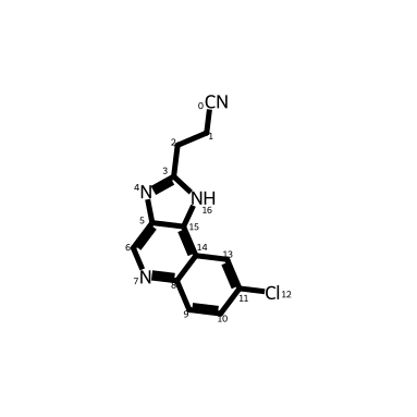 N#CCCc1nc2cnc3ccc(Cl)cc3c2[nH]1